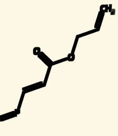 C=CCOC(=O)C=CP=O